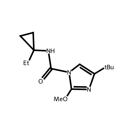 CCC1(NC(=O)n2cc(C(C)(C)C)nc2OC)CC1